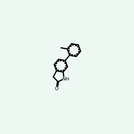 Cc1ccccc1-c1ccc2c(c1)NC(=O)C2